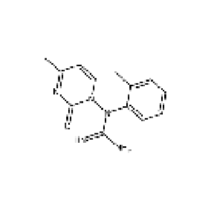 Cc1ccn(N(C(=N)N)c2ccccc2C)c(=O)n1